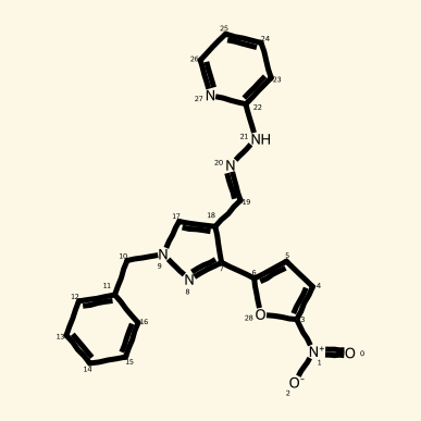 O=[N+]([O-])c1ccc(-c2nn(Cc3ccccc3)cc2C=NNc2ccccn2)o1